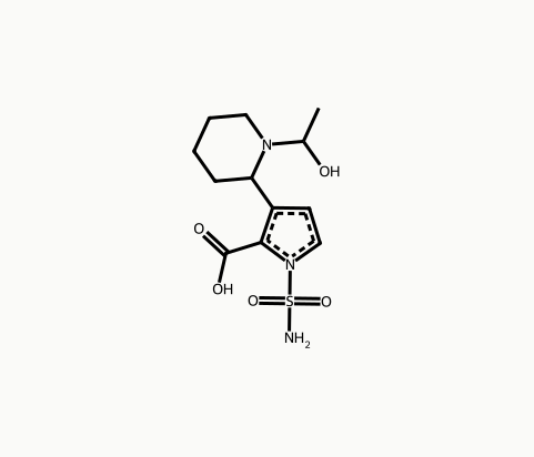 CC(O)N1CCCCC1c1ccn(S(N)(=O)=O)c1C(=O)O